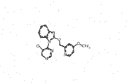 COc1ccnc(COc2nc3ccccc3n2-c2ncncc2Cl)c1